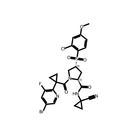 COc1ccc(S(=O)(=O)[C@@H]2C[C@@H](C(=O)NC3(C#N)CC3)N(C(=O)C3(c4ncc(Br)cc4F)CC3)C2)c(Cl)c1